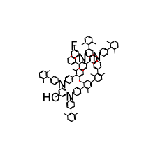 Cc1cccc(C)c1-c1ccc(N(c2ccc(-c3c(C)cccc3C)cc2)c2cc(O)cc(N(c3ccc(-c4c(C)cccc4C)cc3)c3ccc(-c4c(C)cc(-c5ccc(C)c(-c6ccc(N(c7ccc(-c8c(C)cccc8C)cc7)c7cc(-c8c(C)cccc8C)cc(N(c8cccc(F)c8)c8c(-c9ccccc9)cccc8-c8ccccc8)c7)cc6)c5C)cc4C)cc3)c2)cc1